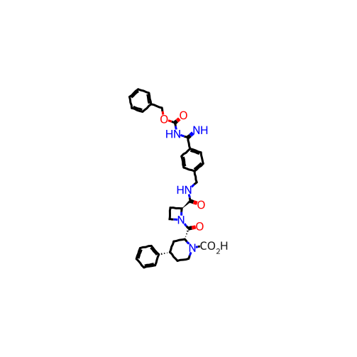 N=C(NC(=O)OCc1ccccc1)c1ccc(CNC(=O)[C@@H]2CCN2C(=O)[C@H]2C[C@@H](c3ccccc3)CCN2C(=O)O)cc1